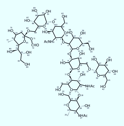 CC(=O)NC1[C@H](OC2C(O[C@@H]3C(O)[C@H](O[C@@H]4C(CO)O[C@@H](O[C@@H]5C(CO)O[C@@H](C)C(NC(C)=O)[C@H]5O)C(NC(C)=O)[C@H]4O)OC(CO[C@H]4OC(CO)[C@@H](O)[C@H](O)C4O)[C@H]3O)O[C@H](CO)[C@@H](O)C2O)OC(CO)[C@@H](O[C@@H]2OC(CO[C@]3(OC=O)CC(O)[C@@H](C)C([C@H](O)[C@H](O)CO)O3)[C@H](O)[C@H](O)C2O)[C@@H]1O